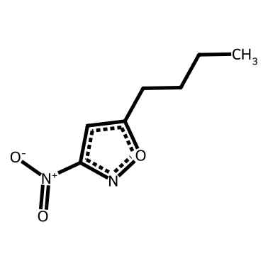 CCCCc1cc([N+](=O)[O-])no1